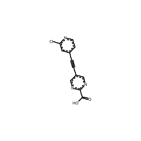 O=C(O)c1ncc(C#Cc2ccnc(Cl)c2)cn1